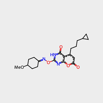 COC1CCC(=NOc2nc3oc(=O)cc(CCCC4CC4)c3c(=O)[nH]2)CC1